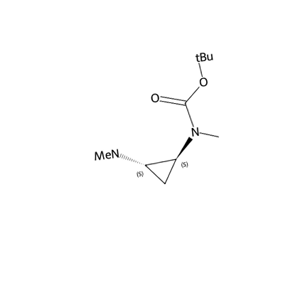 CN[C@H]1C[C@@H]1N(C)C(=O)OC(C)(C)C